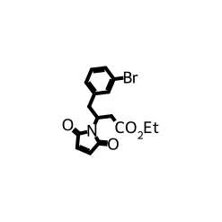 CCOC(=O)CC(Cc1cccc(Br)c1)N1C(=O)C=CC1=O